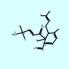 CC(C)=CCC1C(C)=CC=C(C=O)C1(C)C(=O)/C=C/C(C)(C)O